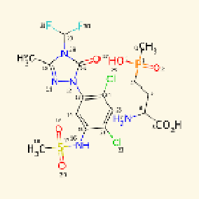 CP(=O)(O)CCC(N)C(=O)O.Cc1nn(-c2cc(NS(C)(=O)=O)c(Cl)cc2Cl)c(=O)n1C(F)F